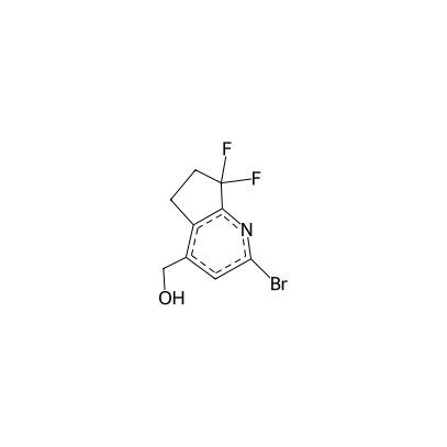 OCc1cc(Br)nc2c1CCC2(F)F